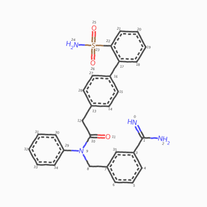 N=C(N)c1cccc(CN(C(=O)Cc2ccc(-c3ccccc3S(N)(=O)=O)cc2)c2ccccc2)c1